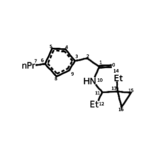 C=C(Cc1ccc(CCC)cc1)NC(CC)C1(CC)CC1